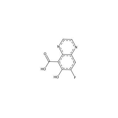 O=C(O)c1c(O)c(F)cc2nccnc12